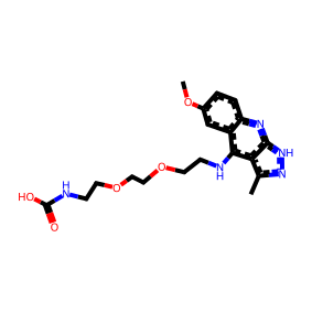 COc1ccc2nc3[nH]nc(C)c3c(NCCOCCOCCNC(=O)O)c2c1